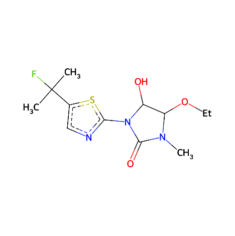 CCOC1C(O)N(c2ncc(C(C)(C)F)s2)C(=O)N1C